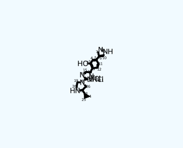 Cl.Cl.Oc1cc(-c2cn[nH]c2)ccc1-c1cnc(N2CCNC(C3CC3)C2)nn1